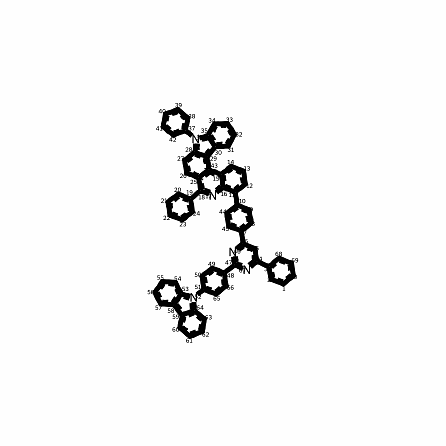 c1ccc(-c2cc(-c3ccc(-c4cccc5c4nc(-c4ccccc4)c4ccc6c(c7ccccc7n6-c6ccccc6)c45)cc3)nc(-c3ccc(-n4c5ccccc5c5ccccc54)cc3)n2)cc1